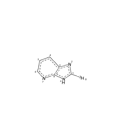 [2H]c1nc2cccnc2[nH]1